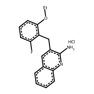 CCOc1cccc(F)c1Cc1cc2ccccc2nc1N.Cl